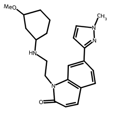 COC1CCCC(NCCn2c(=O)ccc3ccc(-c4ccn(C)n4)cc32)C1